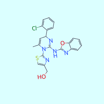 CC1=CC(c2ccccc2Cl)N=C(Nc2nc3ccccc3o2)N1c1nc(CO)cs1